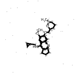 COc1cc2c(NCC3CC3)c3c(nc2cc1OCC1CCCN(C)O1)CCC3